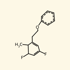 CC1C(CCOc2ccccc2)=CC(F)=CC1F